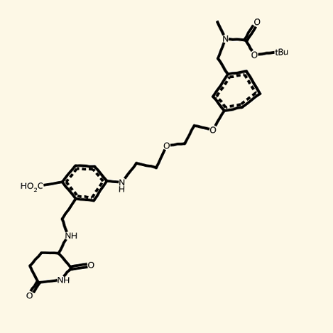 CN(Cc1cccc(OCCOCCNc2ccc(C(=O)O)c(CNC3CCC(=O)NC3=O)c2)c1)C(=O)OC(C)(C)C